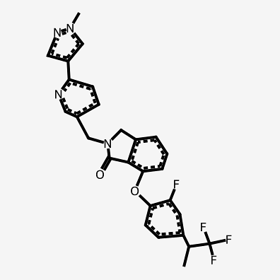 CC(c1ccc(Oc2cccc3c2C(=O)N(Cc2ccc(-c4cnn(C)c4)nc2)C3)c(F)c1)C(F)(F)F